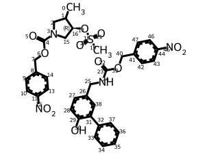 CC1CN(C(=O)OCc2ccc([N+](=O)[O-])cc2)C[C@@H]1OS(C)(=O)=O.O=C(NCc1ccc(O)c(-c2ccccc2)c1)OCc1ccc([N+](=O)[O-])cc1